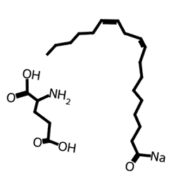 CCCCC/C=C\C/C=C\CCCCCCC[C](=O)[Na].NC(CCC(=O)O)C(=O)O